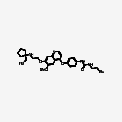 COc1cc2c(Oc3ccc(NC(=O)NCCC(C)(C)C)cc3)ccnc2cc1OCCNC1(CO)CCCC1